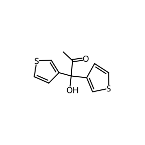 CC(=O)C(O)(c1ccsc1)c1ccsc1